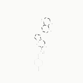 CC1CCC(CNc2ncc3c(-c4cnc5nccnc5c4)ccn3n2)CC1